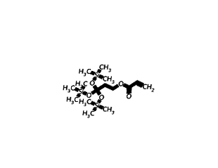 C=CC(=O)OCCC(O[Si](C)(C)C)(O[Si](C)(C)C)O[Si](C)(C)C